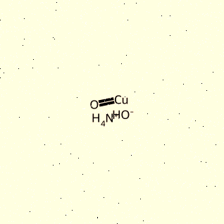 [NH4+].[OH-].[O]=[Cu]